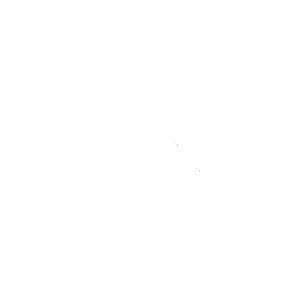 CC=CCN(C)C(N)=S